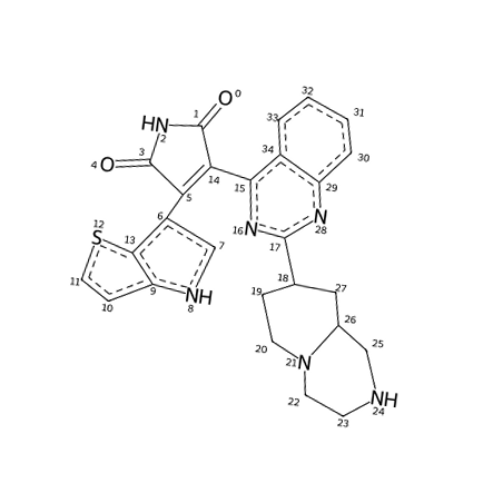 O=C1NC(=O)C(c2c[nH]c3ccsc23)=C1c1nc(C2CCN3CCNCC3C2)nc2ccccc12